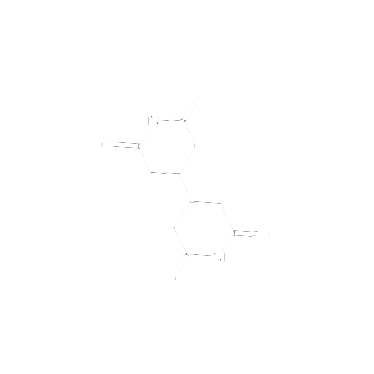 O=C1CC(C2CC(=O)NC(=O)C2)CC(=O)N1